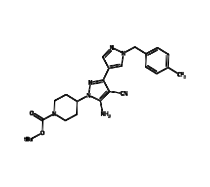 CC(C)(C)OC(=O)N1CCC(n2nc(-c3cnn(Cc4ccc(C(F)(F)F)cc4)c3)c(C#N)c2N)CC1